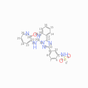 CS(=O)(=O)Nc1cccc(-c2nc3c4ccccc4nc(Nc4ccccnc4=O)n3n2)c1